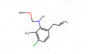 C=CCc1ccc(Cl)c(C)c1N(COCCCC)C(C)=O